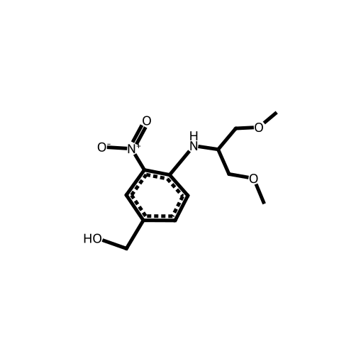 COCC(COC)Nc1ccc(CO)cc1[N+](=O)[O-]